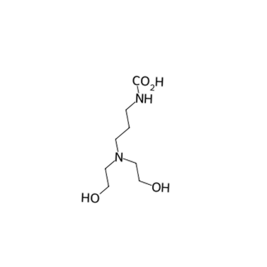 O=C(O)NCCCN(CCO)CCO